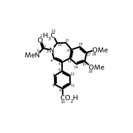 CNC(=O)N1C=C(c2ccc(C(=O)O)cc2)c2cc(OC)c(OC)cc2CC1C